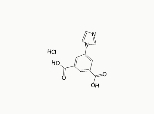 Cl.O=C(O)c1cc(C(=O)O)cc(-n2ccnc2)c1